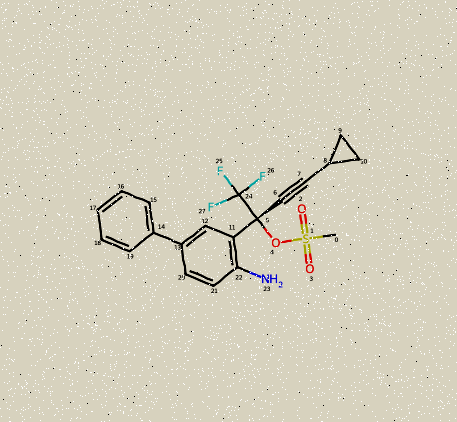 CS(=O)(=O)O[C@](C#CC1CC1)(c1cc(-c2ccccc2)ccc1N)C(F)(F)F